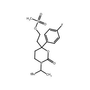 CC(N1CCC(CCOS(C)(=O)=O)(c2ccc(F)cc2)OC1=O)C(C)(C)C